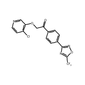 O=C(COc1cnccc1Cl)c1ccc(-c2noc(C(F)(F)F)n2)cc1